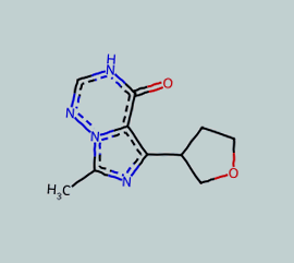 Cc1nc(C2CCOC2)c2c(=O)[nH]cnn12